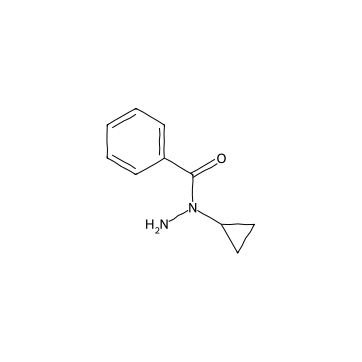 NN(C(=O)c1ccccc1)C1CC1